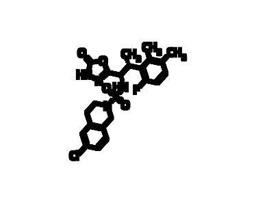 Cc1ccc(F)c([C@@H](C)[C@H](NS(=O)(=O)N2CCc3cc(Cl)ccc3C2)c2n[nH]c(=O)o2)c1C